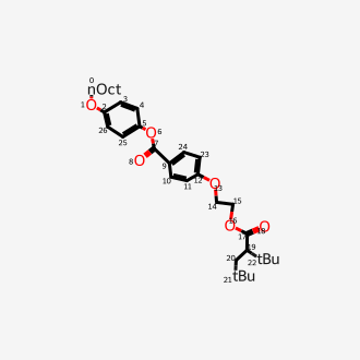 CCCCCCCCOc1ccc(OC(=O)c2ccc(OCCOC(=O)C(CC(C)(C)C)C(C)(C)C)cc2)cc1